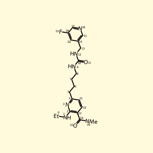 CCNc1nc(CCCCNC(=O)NCc2cncc(F)c2)ccc1C(=O)NC